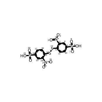 O=[N+]([O-])c1cc(S(=O)(=O)O)ccc1SSc1ccc(S(=O)(=O)O)cc1[N+](=O)[O-]